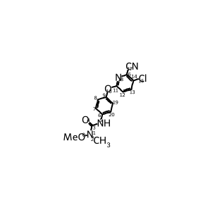 CON(C)C(=O)Nc1ccc(Oc2ccc(Cl)c(C#N)n2)cc1